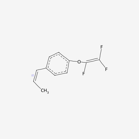 C/C=C\c1ccc(OC(F)=C(F)F)cc1